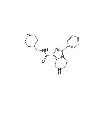 O=C(NCC1CCOCC1)c1nc(-c2ccccc2)n2c1CNCC2